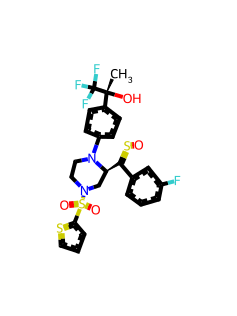 C[C@@](O)(c1ccc(N2CCN(S(=O)(=O)c3cccs3)C[C@@H]2C(=S=O)c2cccc(F)c2)cc1)C(F)(F)F